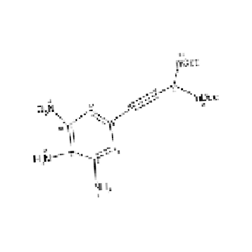 CCCCCCCCCCC(C#Cc1cc(N)c(N)c([N+](=O)[O-])c1)CCCCCCCC